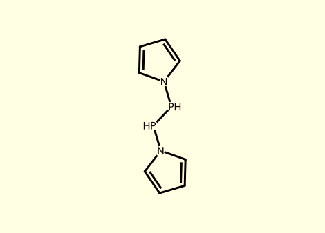 c1ccn(PPn2cccc2)c1